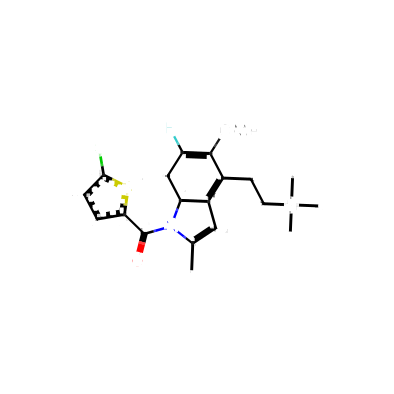 COC1=C(F)CC2C(=C1CC[Si](C)(C)C)[C]=C(C)N2C(=O)c1ccc(Cl)s1